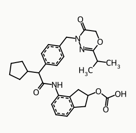 CC(C)C1=NN(Cc2ccc(C(C(=O)Nc3cccc4c3CC(OC(=O)O)C4)C3CCCC3)cc2)C(=O)CO1